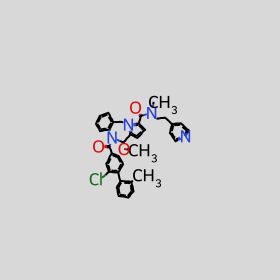 COc1cc(-c2ccccc2C)c(Cl)cc1C(=O)N1Cc2ccc(C(=O)N(C)CCc3ccncc3)n2Cc2ccccc21